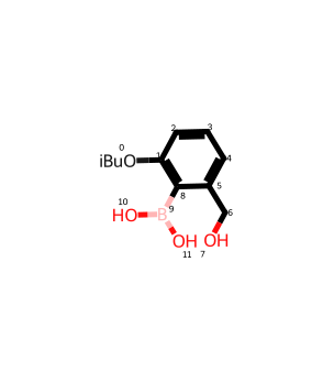 CC(C)COc1cccc(CO)c1B(O)O